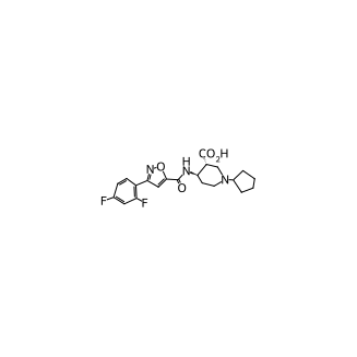 O=C(N[C@@H]1CCN(C2CCCC2)C[C@H]1C(=O)O)c1cc(-c2ccc(F)cc2F)no1